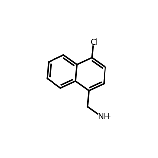 [NH]Cc1ccc(Cl)c2ccccc12